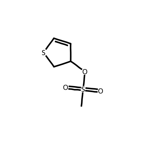 CS(=O)(=O)OC1C=CSC1